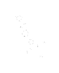 COCCN(C(=O)C1CCC(C)CC1)c1cc(-c2ccc(NC(=O)c3cn(C)cn3)cc2)sc1C(=O)OC